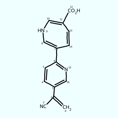 C=C(C#N)c1ccc(C2=CNC=C(C(=O)O)C=C2)nc1